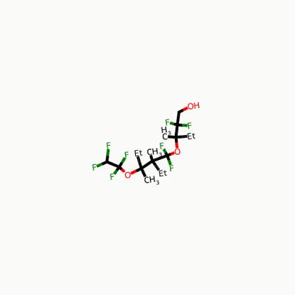 CCC(C)(OC(F)(F)C(C)(CC)C(C)(CC)OC(F)(F)C(F)F)C(F)(F)CO